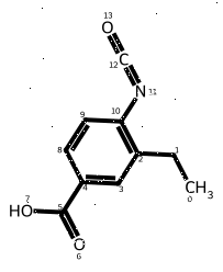 CCc1cc(C(=O)O)ccc1N=C=O